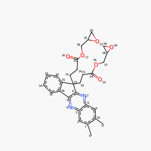 Cc1cc2nc3c(nc2cc1C)C(CCC(=O)OCC1CO1)(CCC(=O)OCC1CO1)c1ccccc1-3